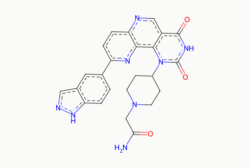 NC(=O)CN1CCC(n2c(=O)[nH]c(=O)c3cnc4ccc(-c5ccc6[nH]ncc6c5)nc4c32)CC1